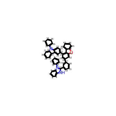 c1ccc(N2c3ccccc3NC2c2cccc(-c3cc(-c4ccc5c(c4)c4ccccc4n5-c4ccccc4)c4c(c3)oc3ccccc34)c2)cc1